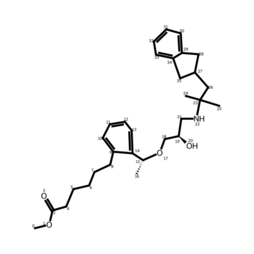 COC(=O)CCCCCc1ccccc1[C@@H](C)OC[C@H](O)CNC(C)(C)CC1Cc2ccccc2C1